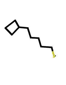 [S]CCCCCC1CCC1